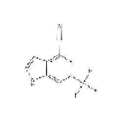 N#Cc1cc(C(F)(F)F)cc2[nH]ccc12